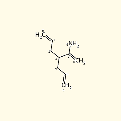 C=CC[C](CC=C)C(=C)N